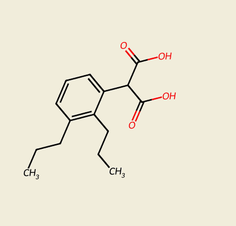 CCCc1cccc(C(C(=O)O)C(=O)O)c1CCC